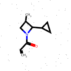 C=CC(=O)N1CC(C)C1C1CC1